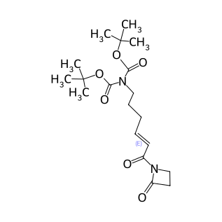 CC(C)(C)OC(=O)N(CCC/C=C/C(=O)N1CCC1=O)C(=O)OC(C)(C)C